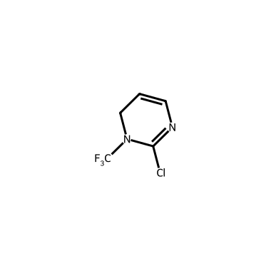 FC(F)(F)N1CC=CN=C1Cl